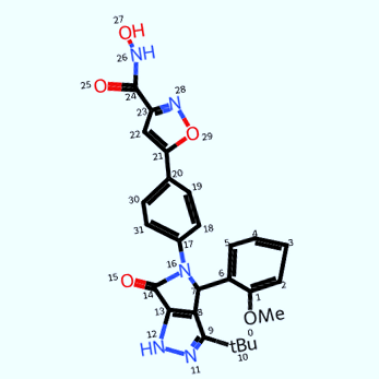 COc1ccccc1C1c2c(C(C)(C)C)n[nH]c2C(=O)N1c1ccc(-c2cc(C(=O)NO)no2)cc1